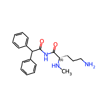 CN[C@@H](CCCN)C(=O)NC(=O)C(c1ccccc1)c1ccccc1